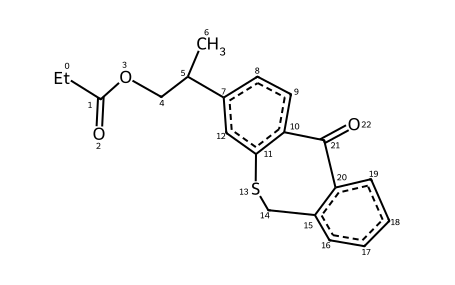 CCC(=O)OCC(C)c1ccc2c(c1)SCc1ccccc1C2=O